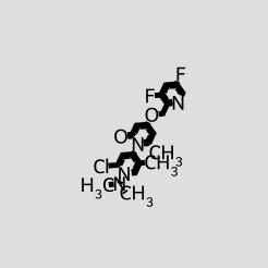 Cc1c[n+](N(C)C)c(Cl)cc1-n1c(C)cc(OCc2ncc(F)cc2F)cc1=O